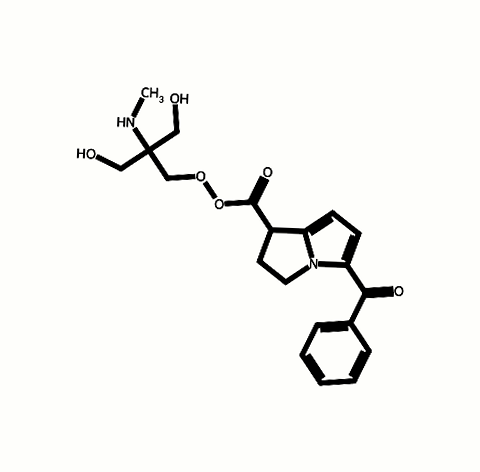 CNC(CO)(CO)COOC(=O)C1CCn2c(C(=O)c3ccccc3)ccc21